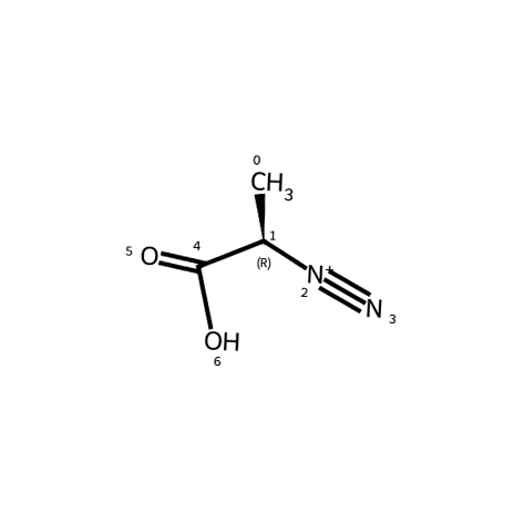 C[C@@H]([N+]#N)C(=O)O